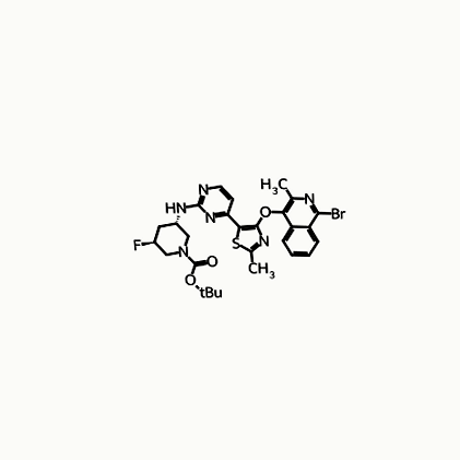 Cc1nc(Oc2c(C)nc(Br)c3ccccc23)c(-c2ccnc(N[C@H]3C[C@H](F)CN(C(=O)OC(C)(C)C)C3)n2)s1